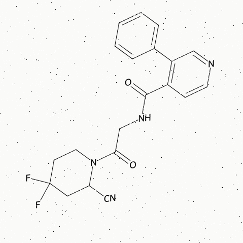 N#CC1CC(F)(F)CCN1C(=O)CNC(=O)c1ccncc1-c1ccccc1